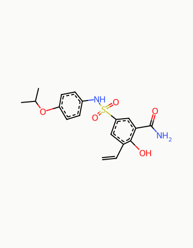 C=Cc1cc(S(=O)(=O)Nc2ccc(OC(C)C)cc2)cc(C(N)=O)c1O